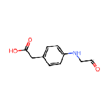 O=[C]CNc1ccc(CC(=O)O)cc1